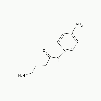 NCCCC(=O)Nc1ccc(N)cc1